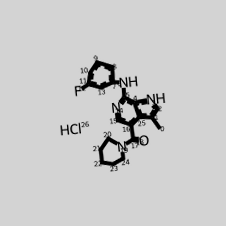 Cc1c[nH]c2c(Nc3cccc(F)c3)ncc(C(=O)N3CCCCC3)c12.Cl